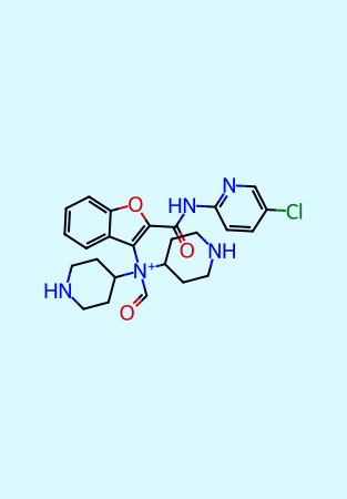 O=C[N+](c1c(C(=O)Nc2ccc(Cl)cn2)oc2ccccc12)(C1CCNCC1)C1CCNCC1